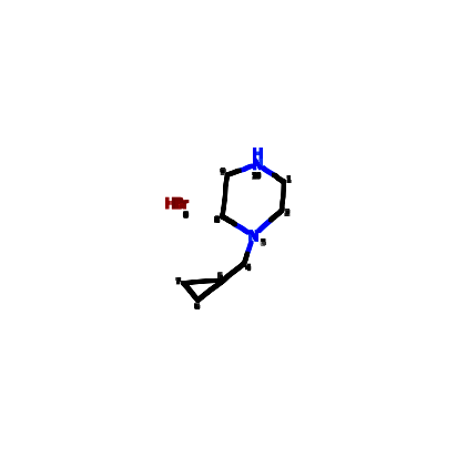 Br.C1CN(CC2CC2)CCN1